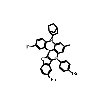 Cc1cc2c3c(c1)N(C1CC4CCC1C4)c1ccc(C(C)C)cc1B3c1oc3ccc(C(C)(C)C)cc3c1N2c1ccc(C(C)(C)C)cc1